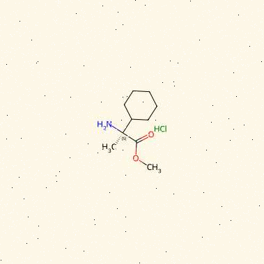 COC(=O)[C@@](C)(N)C1CCCCC1.Cl